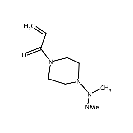 C=CC(=O)N1CCN(N(C)NC)CC1